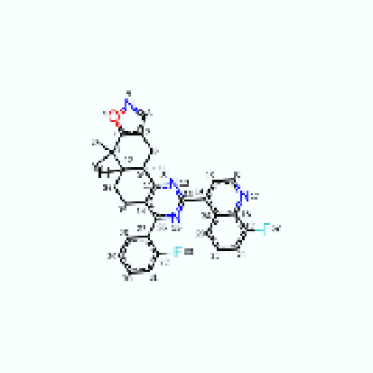 CC1(C)c2oncc2C[C@@]2(C)c3nc(-c4ccnc5c(F)cccc45)nc(-c4ccccc4F)c3CC[C@H]12